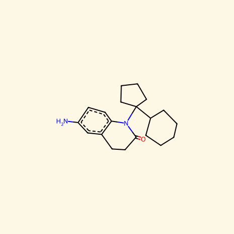 Nc1ccc2c(c1)CCC(=O)N2C1(C2CCCCC2)CCCC1